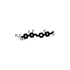 CC(O)c1ccc(-c2ccc(/C=C/C3CCC(c4ccc(C5CO5)cc4F)CC3)c(F)c2F)cc1